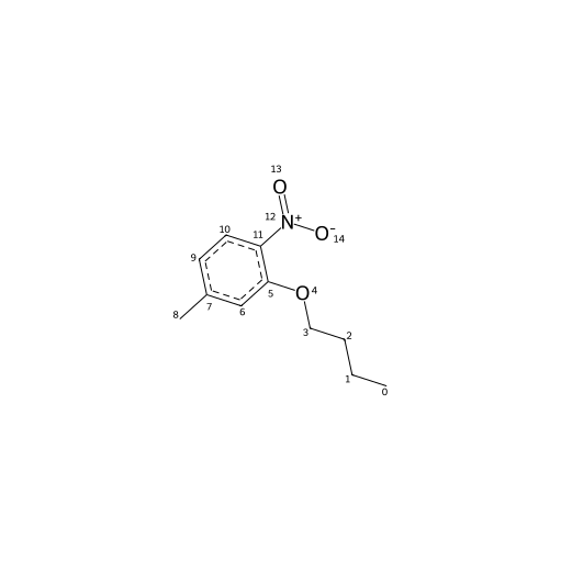 CCCCOc1cc(C)ccc1[N+](=O)[O-]